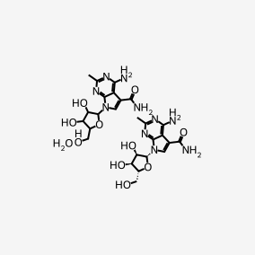 Cc1nc(N)c2c(C(N)=O)cn(C3OC(CO)C(O)C3O)c2n1.Cc1nc(N)c2c(C(N)=O)cn([C@@H]3O[C@H](CO)[C@@H](O)[C@H]3O)c2n1.O